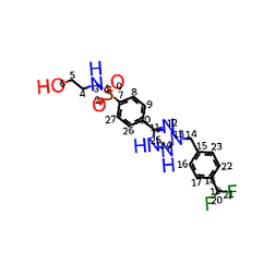 O=S(=O)(NCCO)c1ccc(C2=NN(Cc3ccc(C(F)F)cc3)NN2)cc1